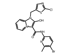 Cc1nc(NC(=O)c2c(O)n(Cc3cnc(Cl)s3)c3cccc[n+]23)ccc1Br